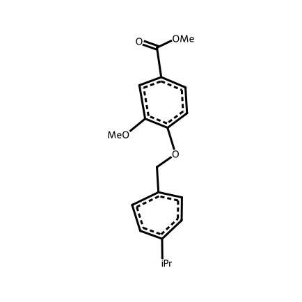 COC(=O)c1ccc(OCc2ccc(C(C)C)cc2)c(OC)c1